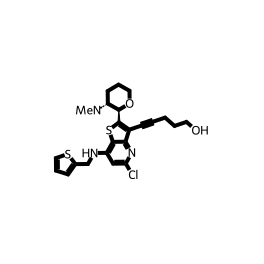 CN[C@@H]1CCCO[C@H]1c1sc2c(NCc3cccs3)cc(Cl)nc2c1C#CCCCO